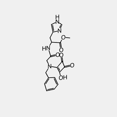 COC(=O)C(Cc1c[nH]cn1)NC(=O)CN(Cc1ccccc1)c1c(O)c(=O)c1=O